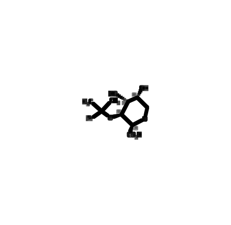 CC(C)C(C)(C)O[C@H]1[C@H](O)[C@H](O)CO[C@H]1C(=O)O